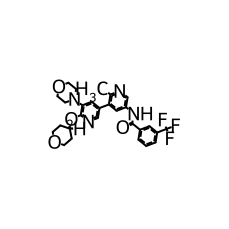 [2H]C1(Oc2ncc(-c3cc(NC(=O)c4cccc(C(F)(F)F)c4)cnc3C)cc2N2CCOCC2)CCOCC1